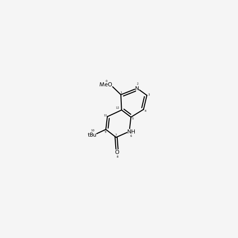 COc1nccc2[nH]c(=O)c(C(C)(C)C)cc12